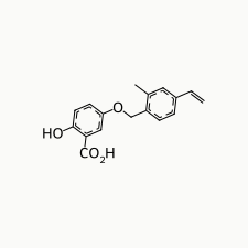 C=Cc1ccc(COc2ccc(O)c(C(=O)O)c2)c(C)c1